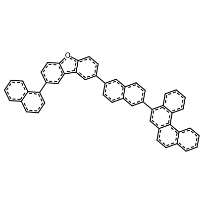 c1ccc2c(-c3ccc4oc5ccc(-c6ccc7cc(-c8cc9ccc%10ccccc%10c9c9ccccc89)ccc7c6)cc5c4c3)cccc2c1